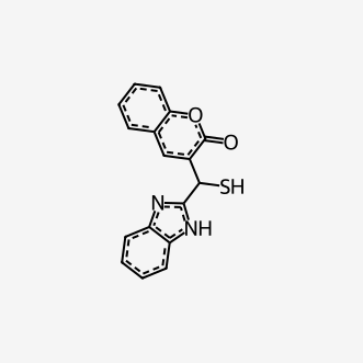 O=c1oc2ccccc2cc1C(S)c1nc2ccccc2[nH]1